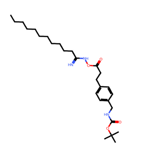 CCCCCCCCCCCC(=N)NOC(=O)CCc1ccc(CNC(=O)OC(C)(C)C)cc1